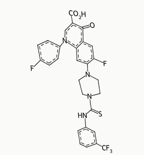 O=C(O)c1cn(-c2ccc(F)cc2)c2cc(N3CCN(C(=S)Nc4cccc(C(F)(F)F)c4)CC3)c(F)cc2c1=O